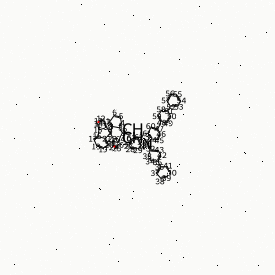 CC1(C)c2ccccc2C2(c3ccccc3-c3ccccc32)c2cccc(-c3ccc(N(c4ccc(-c5ccccc5)cc4)c4ccc(-c5ccc(-c6ccccc6)cc5)cc4)cc3)c21